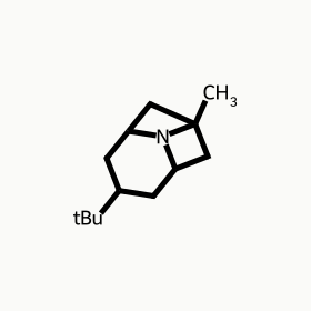 CC(C)(C)C1CC2CC3(C)CC(C1)N23